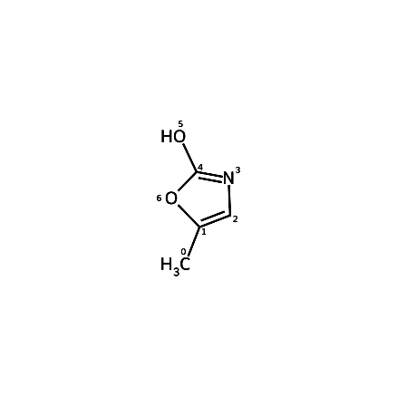 Cc1cnc(O)o1